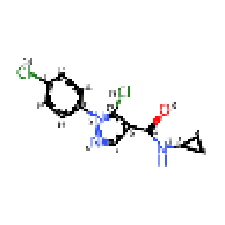 O=C(NC1CC1)c1cnn(-c2ccc(Cl)cc2)c1Cl